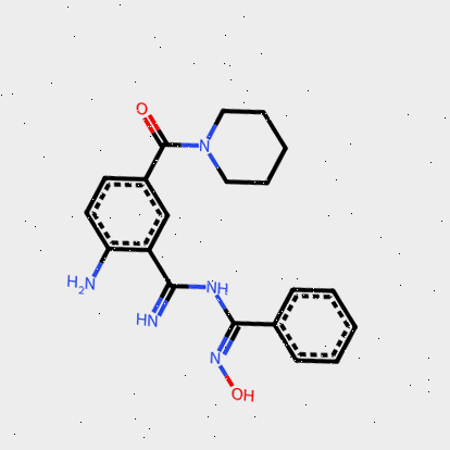 N=C(N/C(=N/O)c1ccccc1)c1cc(C(=O)N2CCCCC2)ccc1N